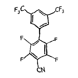 N#Cc1c(F)c(F)c(-c2cc(C(F)(F)F)cc(C(F)(F)F)c2)c(F)c1F